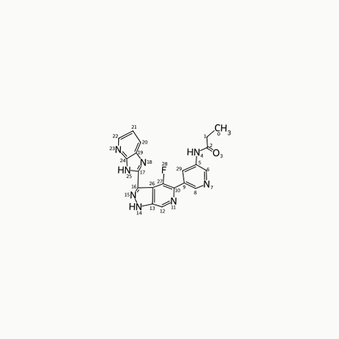 CCC(=O)Nc1cncc(-c2ncc3[nH]nc(-c4nc5cccnc5[nH]4)c3c2F)c1